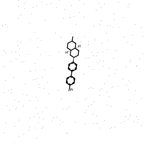 CCCc1ccc(-c2ccc([C@@H]3CC[C@@H]4CC(C)CC[C@@H]4C3)cc2)cc1